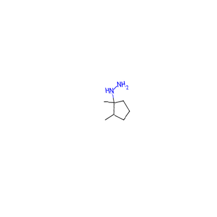 CC1CCCC1(C)NN